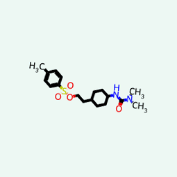 Cc1ccc(S(=O)(=O)OCCC2CCC(NC(=O)N(C)C)CC2)cc1